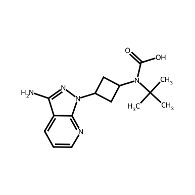 CC(C)(C)N(C(=O)O)C1CC(n2nc(N)c3cccnc32)C1